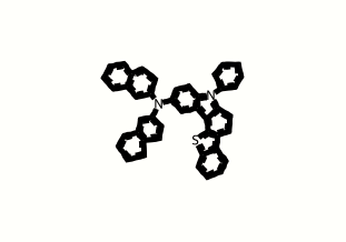 c1ccc(-n2c3ccc(N(c4ccc5ccccc5c4)c4ccc5ccccc5c4)cc3c3c4sc5ccccc5c4ccc32)cc1